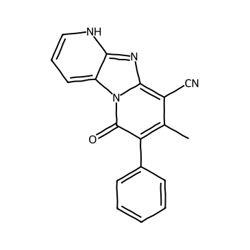 Cc1c(-c2ccccc2)c(=O)n2c(nc3[nH]cccc32)c1C#N